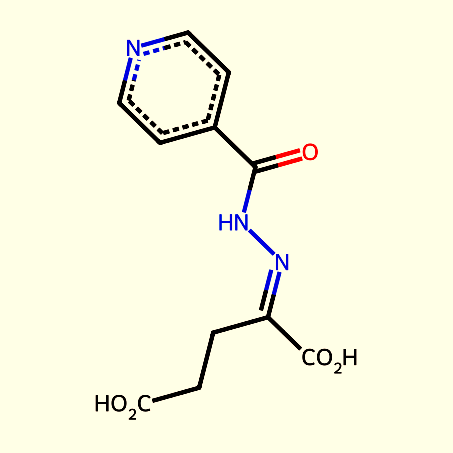 O=C(O)CC/C(=N\NC(=O)c1ccncc1)C(=O)O